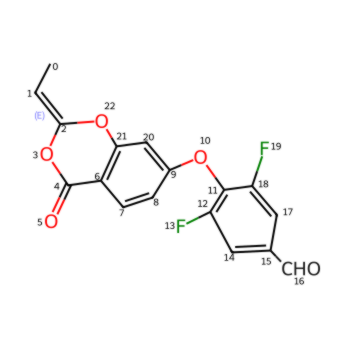 C/C=C1/OC(=O)c2ccc(Oc3c(F)cc(C=O)cc3F)cc2O1